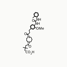 COc1cc(CCC(=O)N2CCCN(C(=O)CC(C)(C)CC(=O)O)CC2)ccc1NC(=O)Nc1ccccc1C